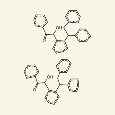 O=C(c1ccccc1)C(O)c1ccccc1C(Cc1ccccc1)c1ccccc1.O=C(c1ccccc1)C(O)c1ccccc1C(Cc1ccccc1)c1ccccc1